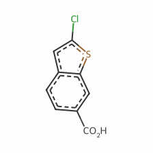 O=C(O)c1ccc2cc(Cl)sc2c1